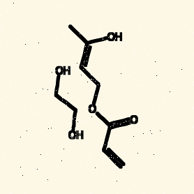 C=CC(=O)OCC=C(C)O.OCCO